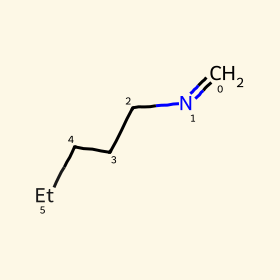 C=NCCCCC